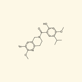 [2H]c1cc2c(nc1OC)CCN(C(=O)c1cc(C(C)C)c(OC)cc1O)C2